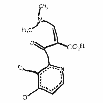 CCOC(=O)/C(=C/N(C)C)C(=O)c1nccc(Cl)c1Cl